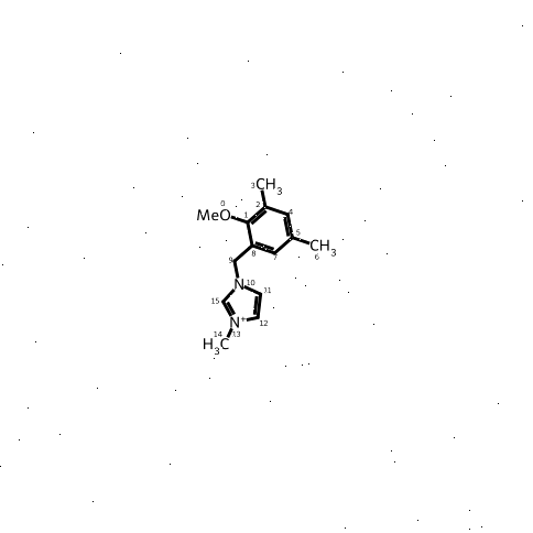 COc1c(C)cc(C)cc1Cn1cc[n+](C)c1